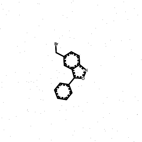 BrCc1ccc2noc(-c3ccccc3)c2c1